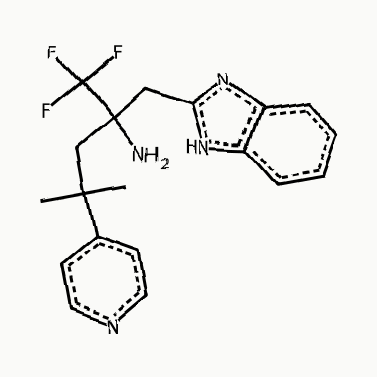 CC(C)(CC(N)(Cc1nc2ccccc2[nH]1)C(F)(F)F)c1ccncc1